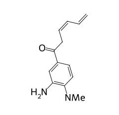 C=C/C=C\CC(=O)c1ccc(NC)c(N)c1